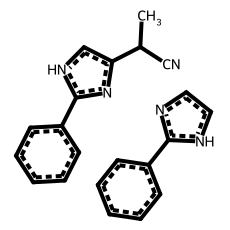 CC(C#N)c1c[nH]c(-c2ccccc2)n1.c1ccc(-c2ncc[nH]2)cc1